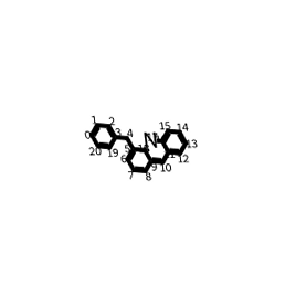 c1ccc(Cc2cccc3cc4ccccc4nc23)cc1